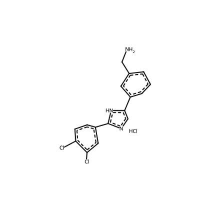 Cl.NCc1cccc(-c2cnc(-c3ccc(Cl)c(Cl)c3)[nH]2)c1